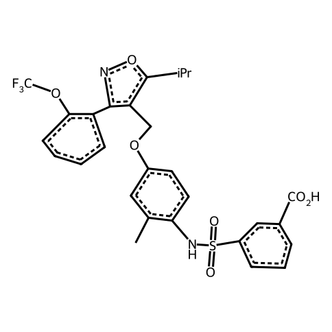 Cc1cc(OCc2c(-c3ccccc3OC(F)(F)F)noc2C(C)C)ccc1NS(=O)(=O)c1cccc(C(=O)O)c1